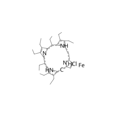 CCC1=C(CC)c2nc1c(CC)c1[nH]c(cc3nc(cc4[nH]c(c2CC)c(CC)c4CC)C=C3)c(CC)c1CC.Cl.[Fe]